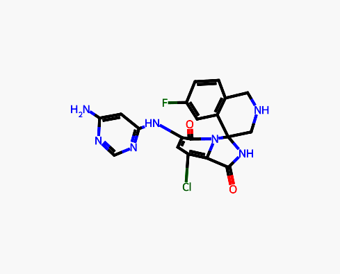 Nc1cc(Nc2cc(Cl)c3n(c2=O)C2(CNCc4ccc(F)cc42)NC3=O)ncn1